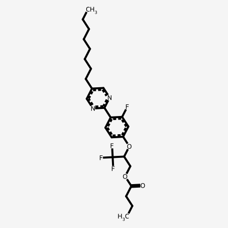 CCCCCCCCc1cnc(-c2ccc(OC(COC(=O)CCC)C(F)(F)F)cc2F)nc1